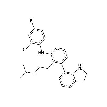 CN(C)CCCc1c(Nc2ccc(F)cc2Cl)cccc1-c1cccc2c1NCC2